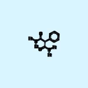 CCN(CC)C(=O)C(C(=O)N(CC)CC)c1ccccc1